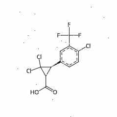 O=C(O)C1[C@H](c2ccc(Cl)c(C(F)(F)F)c2)C1(Cl)Cl